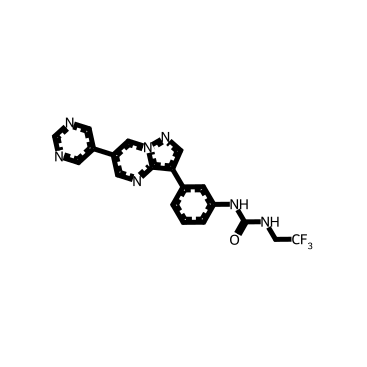 O=C(NCC(F)(F)F)Nc1cccc(-c2cnn3cc(-c4cncnc4)cnc23)c1